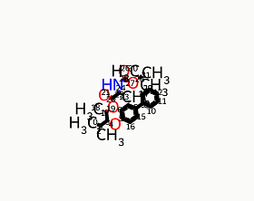 CC(C)[C@@H](Oc1ccc(-c2ccccc2)cc1)[C@H](C)OC(=O)[C@H](C)NC(=O)OC(C)(C)C